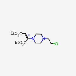 CCOC(=O)/C=C(\C(=O)OCC)N1CCN(CCCl)CC1